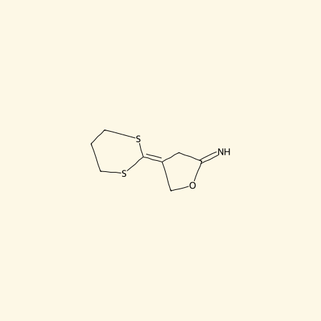 N=C1CC(=C2SCCCS2)CO1